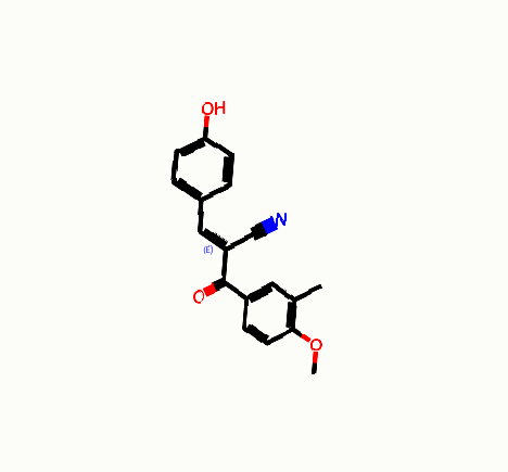 COc1ccc(C(=O)/C(C#N)=C/c2ccc(O)cc2)cc1C